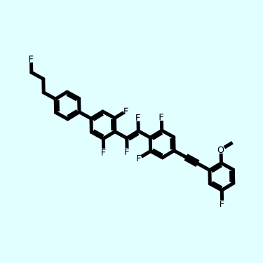 COc1ccc(F)cc1C#Cc1cc(F)c(/C(F)=C(\F)c2c(F)cc(-c3ccc(CCCF)cc3)cc2F)c(F)c1